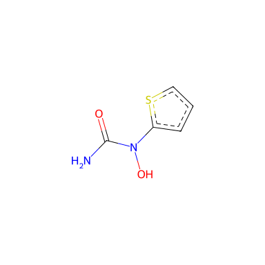 NC(=O)N(O)c1cccs1